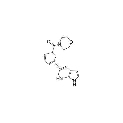 O=C(C1C=CC=C(C2=Cc3cc[nH]c3NC2)C1)N1CCOCC1